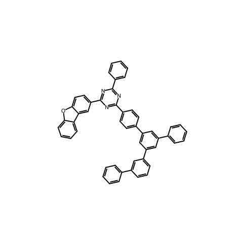 c1ccc(-c2cccc(-c3cc(-c4ccccc4)cc(-c4ccc(-c5nc(-c6ccccc6)nc(-c6ccc7oc8ccccc8c7c6)n5)cc4)c3)c2)cc1